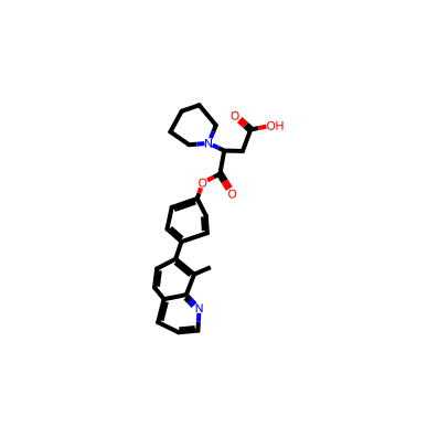 Cc1c(-c2ccc(OC(=O)C(CC(=O)O)N3CCCCC3)cc2)ccc2cccnc12